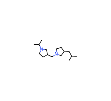 CC(C)C[C@@H]1CCN(CC2CCN(C(C)C)C2)C1